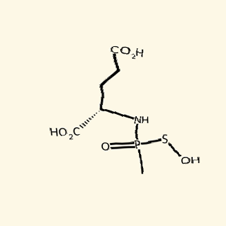 CP(=O)(N[C@@H](CCC(=O)O)C(=O)O)SO